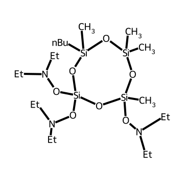 CCCC[Si]1(C)O[Si](C)(C)O[Si](C)(ON(CC)CC)O[Si](ON(CC)CC)(ON(CC)CC)O1